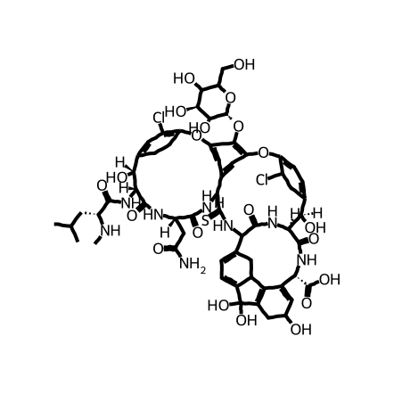 CN[C@H](CC(C)C)C(=O)N[C@H]1C(=O)N[C@@H](CC(N)=O)C(=O)N[C@H]2C(=S)NC3C(=O)N[C@H](C(=O)N[C@H](C(=O)O)C4=CC(O)CC5=C4C4CC3=CC=C4C5(O)O)[C@H](O)C3=CC=C(Oc4cc2cc(c4O[C@H]2OC(CO)C(O)[C@H](O)C2O)OC2=C(Cl)C=C(CC2)[C@H]1O)C(Cl)C3